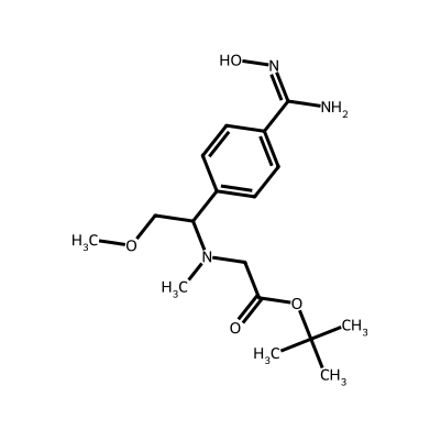 COCC(c1ccc(/C(N)=N\O)cc1)N(C)CC(=O)OC(C)(C)C